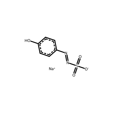 O=S(=O)([O-])N=Nc1ccc(O)cc1.[Na+]